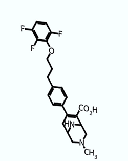 CN1CC2CC(c3ccc(CCCOc4c(F)ccc(F)c4F)cc3)=C(C(=O)O)C(C1)N2